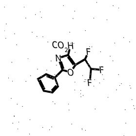 O=C(O)c1nc(-c2ccccc2)oc1C(F)C(F)F